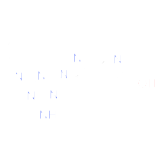 CN(c1ccccc1)c1nc(N)nc(-n2cnc(-c3ccc(CO)nc3)c2)n1